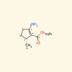 CCCOC(=O)C1=C(N)CC[C@H]1C